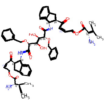 CC(C)[C@H](N)C(=O)OC/C=C\C(=O)[C@@H]1Cc2ccccc2[C@H]1NC(=O)[C@H](OCc1ccccc1)[C@H](O)[C@@H](O)[C@@H](OCc1ccccc1)C(=O)N[C@@H]1c2ccccc2C[C@H]1C(=O)/C=C\COC(=O)[C@@H](N)C(C)C